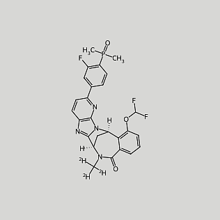 [2H]C([2H])([2H])N1C(=O)c2cccc(OC(F)F)c2[C@H]2C[C@@H]1c1nc3ccc(-c4ccc(P(C)(C)=O)c(F)c4)nc3n12